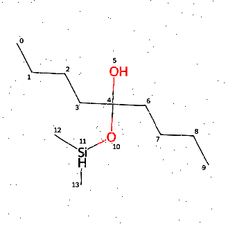 CCCCC(O)(CCCC)O[SiH](C)C